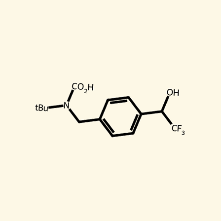 CC(C)(C)N(Cc1ccc(C(O)C(F)(F)F)cc1)C(=O)O